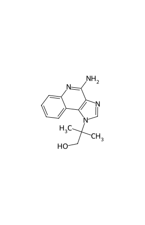 CC(C)(CO)n1cnc2c(N)nc3ccccc3c21